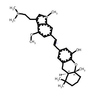 COc1cc(/C=C/c2cc(O)c3c(c2)C[C@@H]2C(C)(C)CCC[C@@]2(C)O3)cc2c1c(CCN(C)C)cn2C